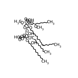 CCCCCC/C=C\CCCCCCCCCCO[C@H]1[C@H](OC[C@H]2OC(OP(=O)(O)O)[C@H](OCC[C@H](O)CCCCCCCCCCC)[C@@H](OCCCCCCCCCCCC)[C@@H]2O)O[C@H](COC)[C@@H](OP(=O)(O)O)[C@@H]1OCC[C@@H](CCCCCCC)OC